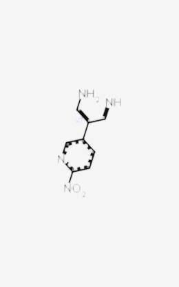 N=C/C(=C\N)c1ccc([N+](=O)[O-])nc1